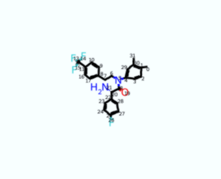 Cc1ccc(N(CCc2ccc(C(F)(F)F)cc2)C(=O)[C@@H](N)c2ccc(F)cc2)cc1C